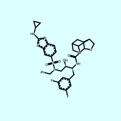 CC(C)CN(C[C@@H](O)[C@H](Cc1cc(F)cc(F)c1)NC(=O)OC1C2COC3OCC1C3C2)S(=O)(=O)c1ccc2nc(NC3CC3)sc2c1